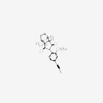 CC#Cc1ccc(C2C(=O)[C@H]3[C@H]4O[C@H](C[C@@H]4C)[C@H]3C2=O)c(OC)c1